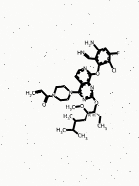 C=CC(=O)N1CCN(c2nc(O[C@H](CC)[C@@H](CC(C)C(C)C)OC)nc3c(Oc4c(Cl)c(F)cc(N)c4C=N)nccc23)CC1